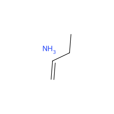 C=CCC.N